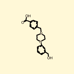 O=C(O)c1ccc(CN2CCN(c3cccc(CO)c3)CC2)cc1